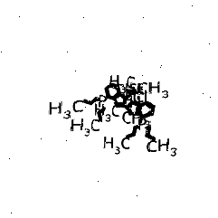 CCCCP(CCCC)c1cccc2c1C=C(CC)[CH]2[Zr]([Cl])([Cl])([CH]1C(CC)=Cc2c1cccc2P(CCCC)CCCC)[SiH](C)C